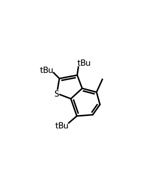 Cc1ccc(C(C)(C)C)c2sc(C(C)(C)C)c(C(C)(C)C)c12